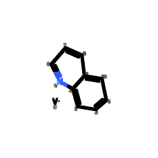 [V].c1ccc2ncccc2c1